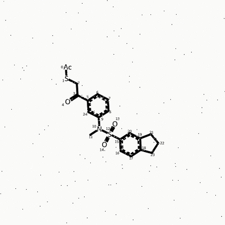 CC(=O)SCC(=O)c1cccc(N(C)S(=O)(=O)c2ccc3c(c2)CCC3)c1